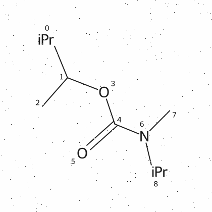 CC(C)C(C)OC(=O)N(C)C(C)C